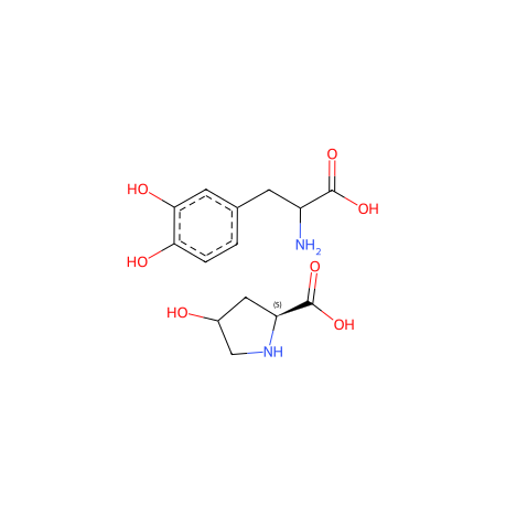 NC(Cc1ccc(O)c(O)c1)C(=O)O.O=C(O)[C@@H]1CC(O)CN1